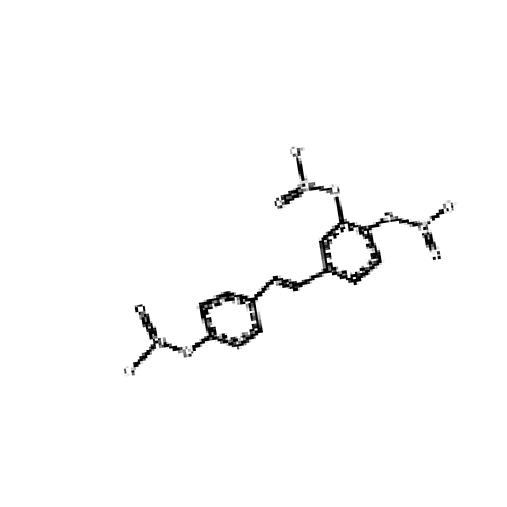 O=[N+]([O-])Oc1ccc(C=Cc2ccc(O[N+](=O)[O-])c(O[N+](=O)[O-])c2)cc1